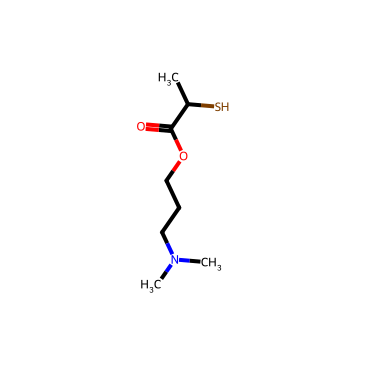 CC(S)C(=O)OCCCN(C)C